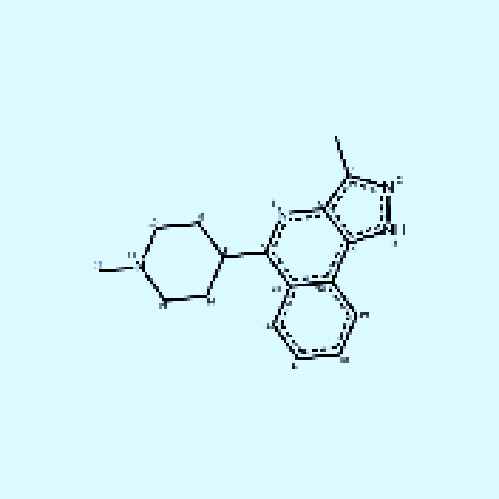 Cc1n[nH]c2c1nc(C1CCN(C)CC1)c1ccccc12